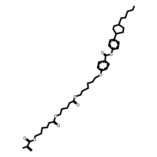 C=C(C)C(=O)OCCCCCC(=O)OCCCCC(=O)OCCCCCCOc1ccc(C(=O)Oc2ccc(C3CCC(CCCCC)CC3)cc2)cc1